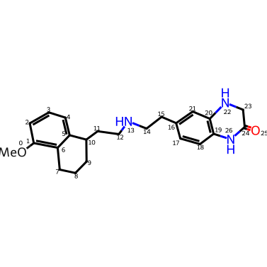 COc1cccc2c1CCCC2CCNCCc1ccc2c(c1)NCC(=O)N2